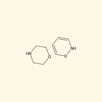 C1=CNOC=C1.C1COCCN1